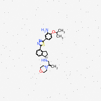 C=C(CN[C@H]1CCc2c(-c3nnc(-c4ccc(OC(C)C)c(N)c4)s3)cccc21)N1CCOCC1